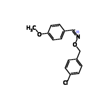 COc1ccc(/[C]=N\OCc2ccc(Cl)cc2)cc1